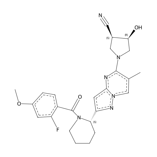 COc1ccc(C(=O)N2CCCC[C@H]2c2cc3nc(N4C[C@@H](C#N)[C@@H](O)C4)c(C)cn3n2)c(F)c1